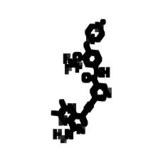 Cc1nc2c(C#Cc3cncc(C(=O)Nc4ccc(CN5CCN(C)CC5)c(OC(F)(F)F)c4)c3)cnc(N)c2nc1C